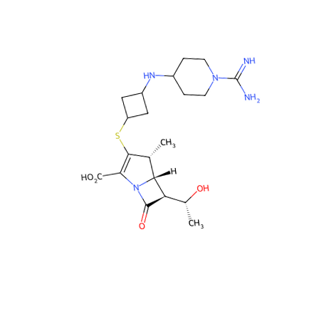 C[C@@H](O)[C@H]1C(=O)N2C(C(=O)O)=C(SC3CC(NC4CCN(C(=N)N)CC4)C3)[C@H](C)[C@H]12